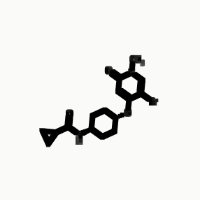 Cn1cc(Br)c(O[C@H]2CC[C@H](NC(=O)C3CC3)CC2)cc1=O